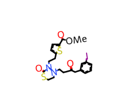 COC(=O)c1ccc(CCN2C(=O)SCCN2CCC(=O)Cc2cccc(I)c2)s1